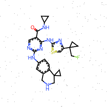 O=C(NC1CC1)c1cnc(Nc2ccc3c(c2)CNCC32CC2)nc1Nc1nc(C2(CF)CC2)cs1